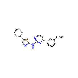 COc1cccc(-c2ccnc(Nc3ncc(-c4ccccc4)s3)n2)c1